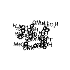 CC(C)[C@@]1(NC(=O)[C@@H]2C[C@@H]3c4cccc5[nH]cc(c45)C[C@H]3N(C)C2)O[C@@]2(O)[C@@H]3CCCN3C(=O)[C@H](Cc3ccccc3)N2C1=O.COC(=O)[C@H]1[C@H]2C[C@@H]3c4[nH]c5cc(OC)ccc5c4CCN3C[C@H]2C[C@@H](OC(=O)c2cc(OC)c(OC)c(OC)c2)[C@@H]1OC.CS(=O)(=O)O.C[C@@H]1CCC[C@H](C)N1NC(=O)c1ccc(Cl)c(S(N)(=O)=O)c1